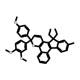 CCC1(CC)c2cc(C)ccc2-c2c1c1c(c3ccccc23)OC(c2ccc(OC)cc2)(c2ccc(OC)c(OC)c2)C=C1